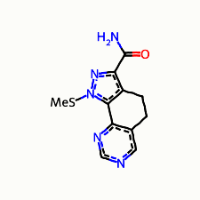 CSn1nc(C(N)=O)c2c1-c1ncncc1CC2